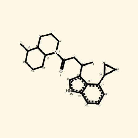 CC(CC(=O)N1CCCC2C(C)CCCC21)c1c[nH]c2cccc(C3CC3)c12